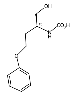 O=C(O)N[C@H](CO)CCOc1ccccc1